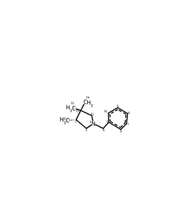 C[C@H]1CN(Cc2ccccc2)CC1(C)C